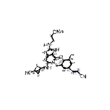 COCCNc1nc2nc(NC34CC(C#N)(C3)C4)nc(Oc3c(C)cc(/C=C/C#N)cc3C)c2[nH]1